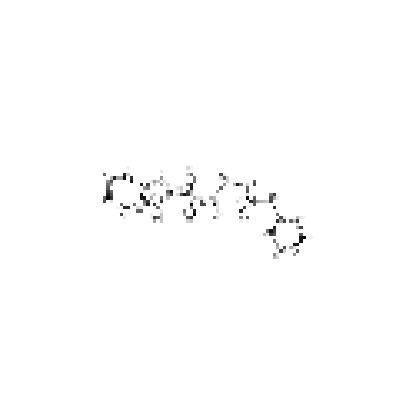 O=S(=O)(c1cc2ccccc2[nH]1)N1CCN(Cc2ccccc2)CC1